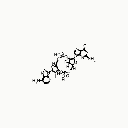 Nc1nc2c(ncn2[C@@H]2O[C@@H]3COP(=O)(O)O[C@H]4[C@H](F)[C@H](n5nnc6c(N)ccnc65)O[C@@H]4COP(O)(=S)O[C@@H]2[C@@H]3F)c(=O)[nH]1